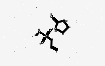 C=CCS(=O)(=O)OC.O=C1OCCO1